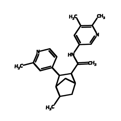 C=C(Nc1cnc(C)c(C)c1)C1C2CC(C)C(C2)C1c1ccnc(C)c1